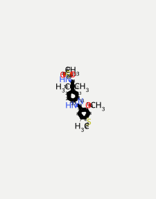 COc1cc(SC)ccc1-c1nc2cc(C(C)(C)CNS(C)(=O)=O)ccc2[nH]1